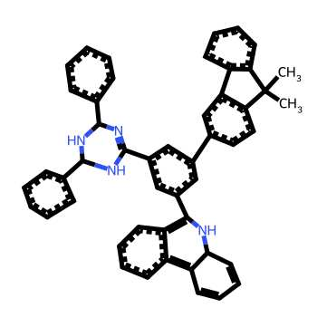 CC1(C)c2ccccc2-c2cc(-c3cc(C4=NC(c5ccccc5)NC(c5ccccc5)N4)cc(C4=c5ccccc5=C5C=CC=CC5N4)c3)ccc21